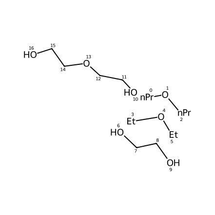 CCCOCCC.CCOCC.OCCO.OCCOCCO